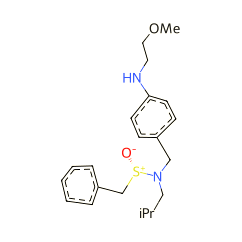 COCCNc1ccc(CN(CC(C)C)[S@@+]([O-])Cc2ccccc2)cc1